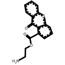 NCCOC(=O)c1cccc2sc3ccccc3c(=O)c12